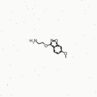 COc1ccc2c(OCCN)noc2c1